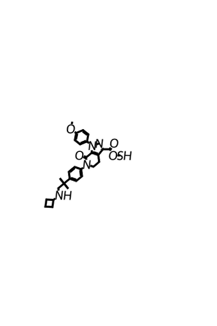 COc1ccc(-n2nc(C(=O)OS)c3c2C(=O)N(c2ccc(C(C)(C)CNC4CCC4)cc2)CC3)cc1